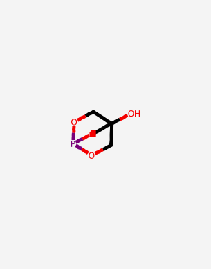 OC12COP(OC1)OC2